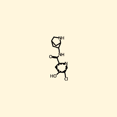 O=C(NC1CC2CNC1C2)c1cc(O)c(Cl)cn1